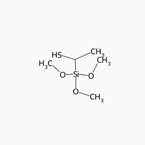 CO[Si](OC)(OC)C(C)S